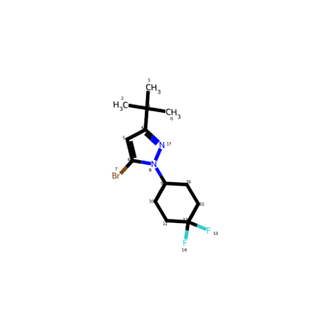 CC(C)(C)c1cc(Br)n(C2CCC(F)(F)CC2)n1